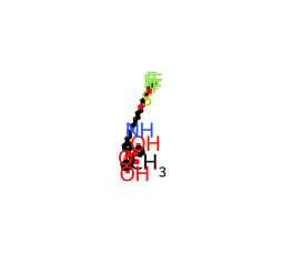 CC1=C(c2cccc(O)c2)C(c2ccc(C=CCNCCCCCCCCCSCCCC(F)(F)C(F)(F)F)cc2)Oc2ccc(O)cc21